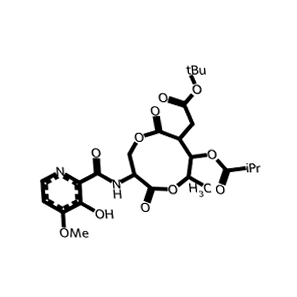 COc1ccnc(C(=O)NC2COC(=O)C(CC(=O)OC(C)(C)C)C(OC(=O)C(C)C)C(C)OC2=O)c1O